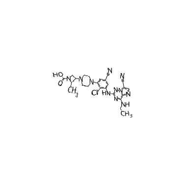 CCNc1nc(Nc2cc(C#N)cc(N3CCN(C4CN(C(=O)O)C4C)CC3)c2Cl)nn2c(C#N)cnc12